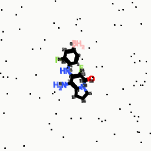 Bc1ccc(Nc2c(N)c3n(c(=O)c2F)CCC3)c(F)c1